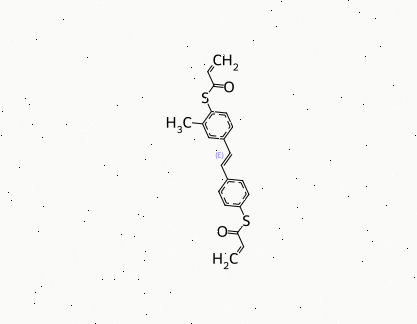 C=CC(=O)Sc1ccc(/C=C/c2ccc(SC(=O)C=C)c(C)c2)cc1